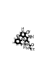 CCNC(=O)N/C=C(\C=N)C(=N)c1c(Nc2c(F)cccc2F)c(Cl)c[nH]c1=O